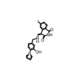 O=C1NC(=O)c2ccc(I)cc2C1=CNCc1ccc(-n2cccc2)c(O)c1